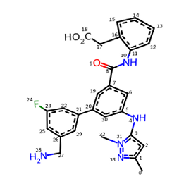 Cc1cc(Nc2cc(C(=O)Nc3ccccc3CC(=O)O)cc(-c3cc(F)cc(CN)c3)c2)n(C)n1